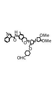 COC1CN([C@H]2C[C@@H](CO[C@H]3CC[C@H](C=O)CC3)N(C(=O)Cc3cc(C)c(NC(=O)c4cn(C)c5ccccc45)cc3C)C2)C[C@@H]1OC